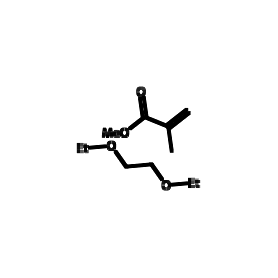 C=C(C)C(=O)OC.CCOCCOCC